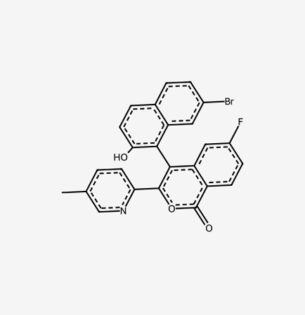 Cc1ccc(-c2oc(=O)c3ccc(F)cc3c2-c2c(O)ccc3ccc(Br)cc23)nc1